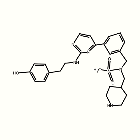 CS(=O)(=O)N(Cc1cccc(-c2ccnc(NCCc3ccc(O)cc3)n2)c1)CC1CCNCC1